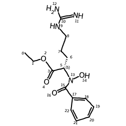 CCOC(=O)[C@H](CCCNC(=N)N)N(O)C(=O)c1ccccc1